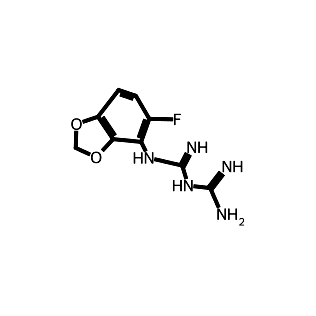 N=C(N)NC(=N)Nc1c(F)ccc2c1OCO2